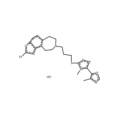 CCc1nc2c3c(ccc2o1)CCN(CCCSc1nnc(-c2ocnc2C)n1C)CC3.Cl